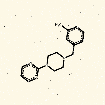 Cc1cccc(CN2CCN(c3ncccn3)CC2)c1